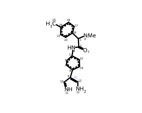 CNC(C(=O)Nc1ccc(/C(C=N)=C/N)cc1)c1ccc(C)cc1